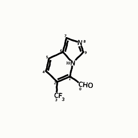 O=Cc1c(C(F)(F)F)ccc2cncn12